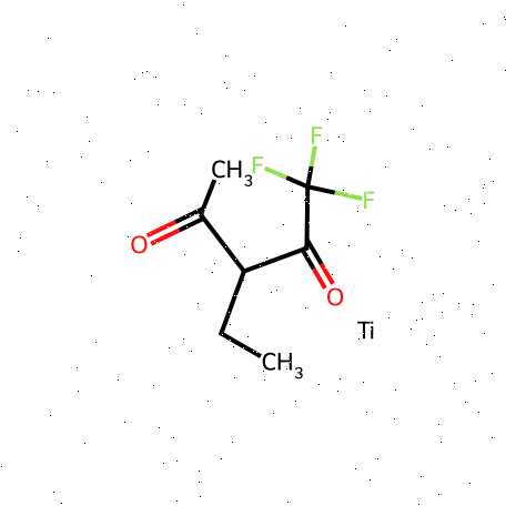 CCC(C(C)=O)C(=O)C(F)(F)F.[Ti]